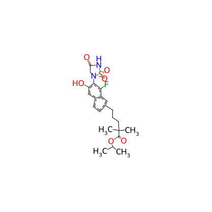 CC(C)OC(=O)C(C)(C)CCCc1ccc2cc(O)c(N3CC(=O)NS3(=O)=O)c(F)c2c1